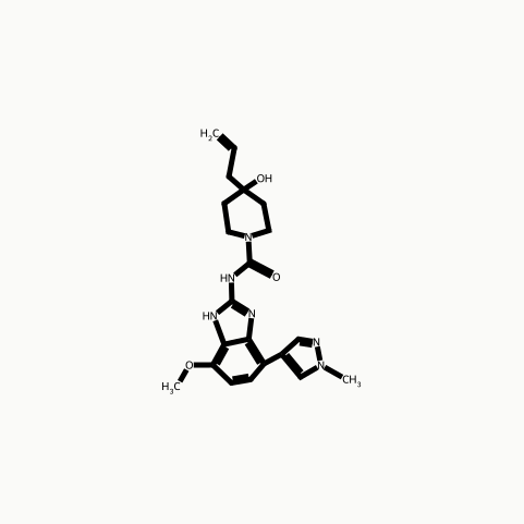 C=CCC1(O)CCN(C(=O)Nc2nc3c(-c4cnn(C)c4)ccc(OC)c3[nH]2)CC1